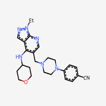 CCn1ncc2c(NC3CCOCC3)c(CN3CCN(c4ccc(C#N)cc4)CC3)cnc21